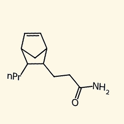 CCCC1C2C=CC(C2)C1CCC(N)=O